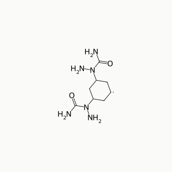 NC(=O)N(N)C1C[CH]CC(N(N)C(N)=O)C1